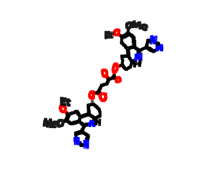 CCOC1=C(OC)C=C2C(c3cncnc3)=N[C@@H]3CC[C@@H](OC(=O)CCC(=O)C(=O)O[C@@H]4CC[C@H]5N=C(c6cncnc6)C6=CC(OC)=C(OCC)CC6=C5C4)CC3=C2C1